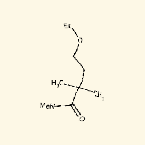 CCOCCC(C)(C)C(=O)NC